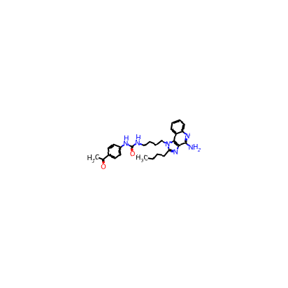 CCCCc1nc2c(N)nc3ccccc3c2n1CCCCNC(=O)Nc1ccc(C(C)=O)cc1